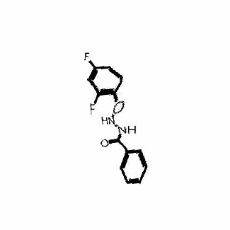 O=C(NNOc1ccc(F)cc1F)c1ccccc1